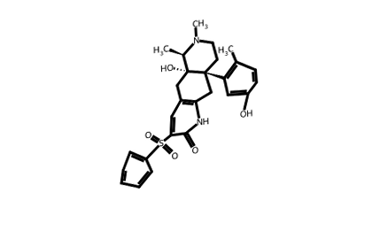 Cc1ccc(O)cc1[C@]12CCN(C)[C@H](C)[C@]1(O)Cc1cc(S(=O)(=O)c3ccccc3)c(=O)[nH]c1C2